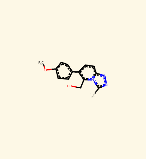 OCc1c(-c2ccc(OC(F)(F)F)cc2)ccc2nnc(C(F)(F)F)n12